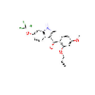 C=CCOc1cc(OC)ccc1C(=O)c1c(C)[nH]c2cc(OC(F)(F)F)ccc12